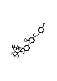 Cc1ncoc1-c1nc2ccc(-n3ccc(OCc4ccc(F)cc4)cc3=O)cc2n1C